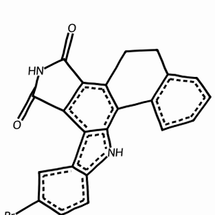 O=C1NC(=O)c2c1c1c(c3[nH]c4ccc(Br)cc4c23)-c2ccccc2CC1